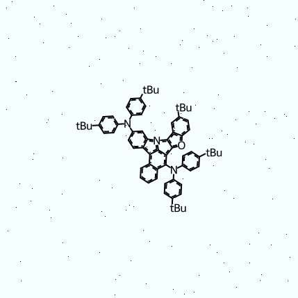 CC(C)(C)c1ccc(N(c2ccc(C(C)(C)C)cc2)c2ccc3c4c5ccccc5c(N(c5ccc(C(C)(C)C)cc5)c5ccc(C(C)(C)C)cc5)c5c6oc7ccc(C(C)(C)C)cc7c6n(c3c2)c54)cc1